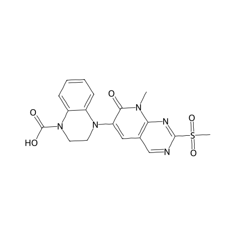 Cn1c(=O)c(N2CCN(C(=O)O)c3ccccc32)cc2cnc(S(C)(=O)=O)nc21